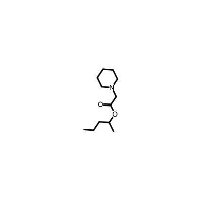 CCCC(C)OC(=O)CN1CCCCC1